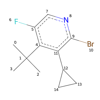 CC(C)(C)c1c(F)cnc(Br)c1C1CC1